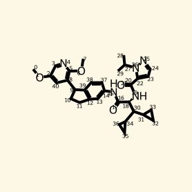 COc1cnc(OC)c(C2CCc3cc(NC(=O)[C@@H](NC(=O)c4ccnn4C(C)C)C(C4CC4)C4CC4)ccc32)c1